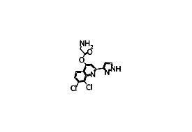 NCC(=O)Oc1cc(-c2cc[nH]n2)nc2c(Cl)c(Cl)ccc12